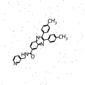 Cc1ccc(-c2nc3ccc(C(=O)NCc4cccnc4)cc3nc2-c2ccc(C)cc2)cc1